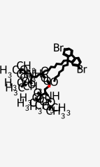 CC(C)(C)OC(=O)NC(CCC(=O)OCCCCCCC1(CCCCCCOC(=O)CCC(NC(=O)OC(C)(C)C)C(=O)OC(C)(C)C)c2cc(Br)ccc2-c2ccc(Br)cc21)C(=O)OC(C)(C)C